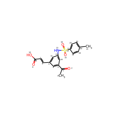 CC(=O)c1cc(C=CC(=O)O)cc(NS(=O)(=O)c2ccc(C)cc2)c1